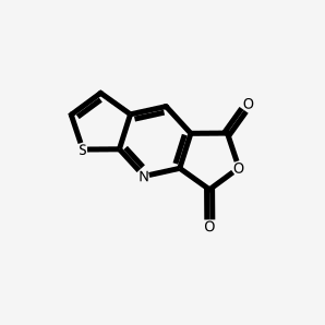 O=C1OC(=O)c2nc3sccc3cc21